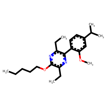 CCCCCOc1nc(CC)c(-c2ccc(C(C)C)cc2OC)nc1CC